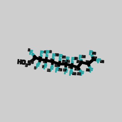 O=S(=O)(O)C(F)C(F)(F)C(F)(F)C(F)(F)C(F)(F)C(F)(F)C(F)(F)C(F)C(F)C(F)C(F)F